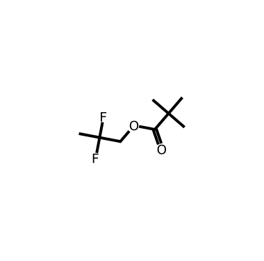 CC(F)(F)COC(=O)C(C)(C)C